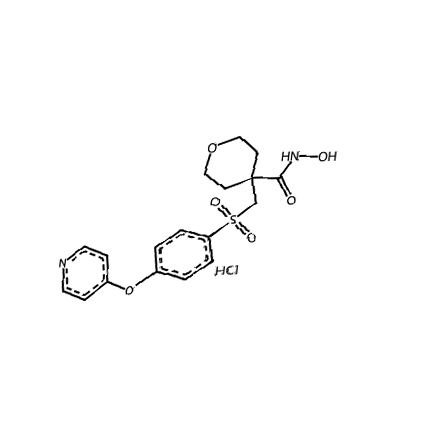 Cl.O=C(NO)C1(CS(=O)(=O)c2ccc(Oc3ccncc3)cc2)CCOCC1